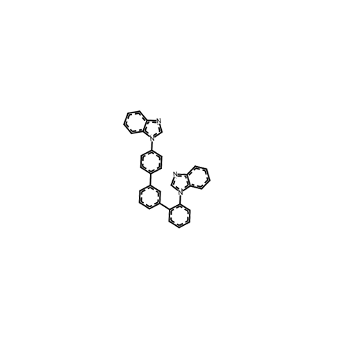 c1cc(-c2ccc(-n3cnc4ccccc43)cc2)cc(-c2ccccc2-n2cnc3ccccc32)c1